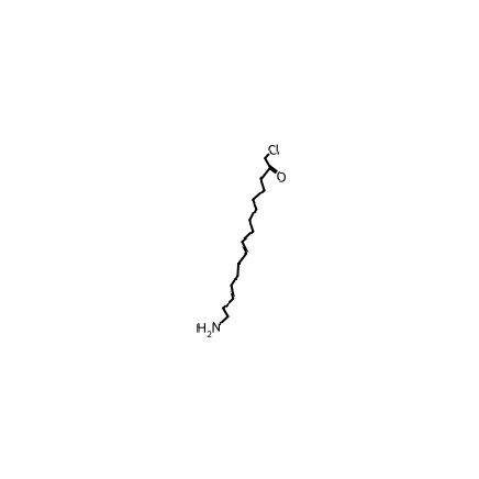 NCCCCCCCCCCCCCCC(=O)CCl